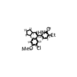 CCc1ccc(/C(=C/C2CCCC2)c2ccc(OC)c(Cl)c2)[nH]c1=O